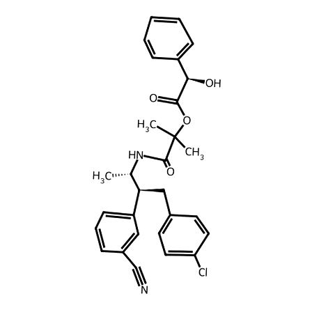 C[C@H](NC(=O)C(C)(C)OC(=O)[C@H](O)c1ccccc1)[C@@H](Cc1ccc(Cl)cc1)c1cccc(C#N)c1